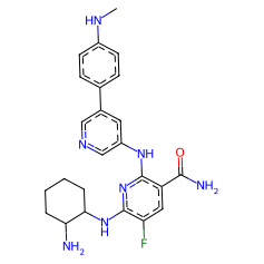 CNc1ccc(-c2cncc(Nc3nc(NC4CCCCC4N)c(F)cc3C(N)=O)c2)cc1